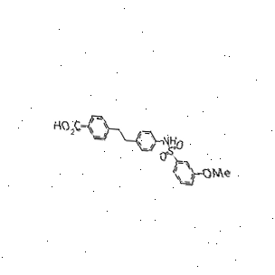 COc1cccc(S(=O)(=O)Nc2ccc(CCc3ccc(C(=O)O)cc3)cc2)c1